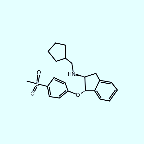 CS(=O)(=O)c1ccc(O[C@H]2c3ccccc3C[C@@H]2NCC2CCCC2)cc1